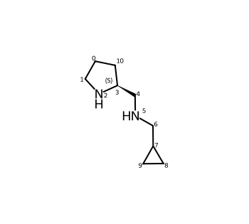 C1CN[C@H](CNCC2CC2)C1